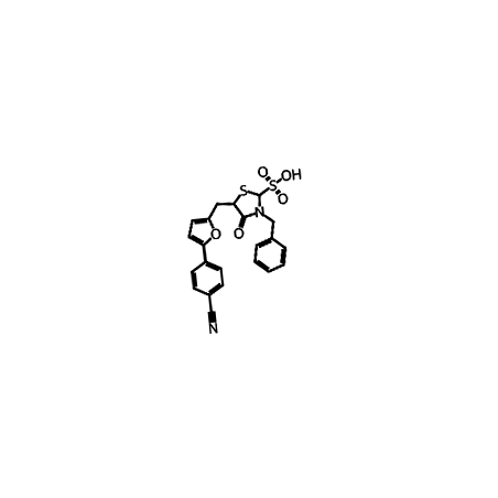 N#Cc1ccc(-c2ccc(CC3SC(S(=O)(=O)O)N(Cc4ccccc4)C3=O)o2)cc1